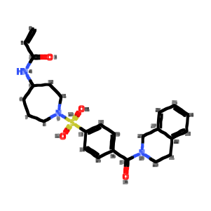 C=CC(=O)NC1CCCN(S(=O)(=O)c2ccc(C(=O)N3CCc4ccccc4C3)cc2)CC1